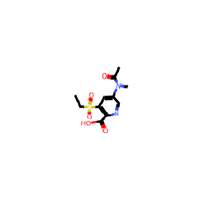 CCS(=O)(=O)c1cc(N(C)C(C)=O)cnc1C(=O)O